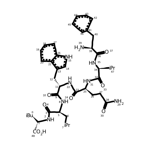 CC[C@H](C)[C@H](NC(=O)[C@H](CC(C)C)NC(=O)[C@H](Cc1c[nH]c2ccccc12)NC(=O)[C@H](CCC(N)=O)NC(=O)[C@@H](NC(=O)[C@@H](N)Cc1ccccc1)C(C)C)C(=O)O